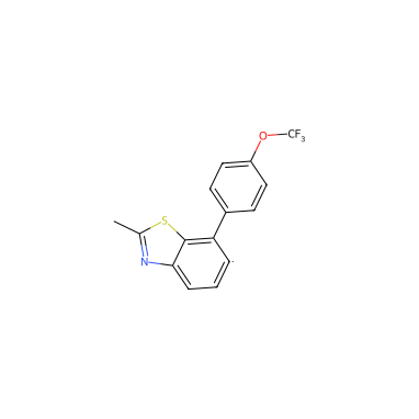 Cc1nc2cc[c]c(-c3ccc(OC(F)(F)F)cc3)c2s1